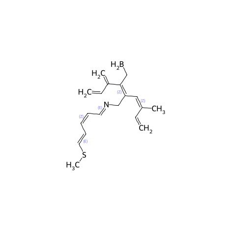 BC/C(C(=C)C=C)=C(\C=C(\C)C=C)C/N=C/C=C\C=C\SC